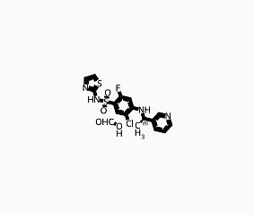 C[C@@H](Nc1cc(F)c(S(=O)(=O)Nc2nccs2)cc1Cl)c1cccnc1.O=CO